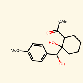 COC(=O)C1CCCCC1(O)C(O)c1ccc(OC)cc1